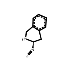 O=N[C@@H]1Cc2ccccc2CN1